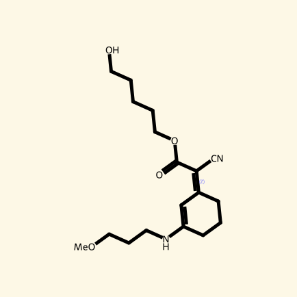 COCCCNC1=C/C(=C(/C#N)C(=O)OCCCCCO)CCC1